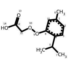 Cc1ccc(C(C)C)c(OOCC(=O)O)c1